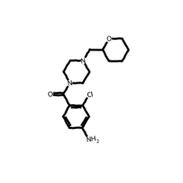 Nc1ccc(C(=O)N2CCN(CC3CCCCO3)CC2)c(Cl)c1